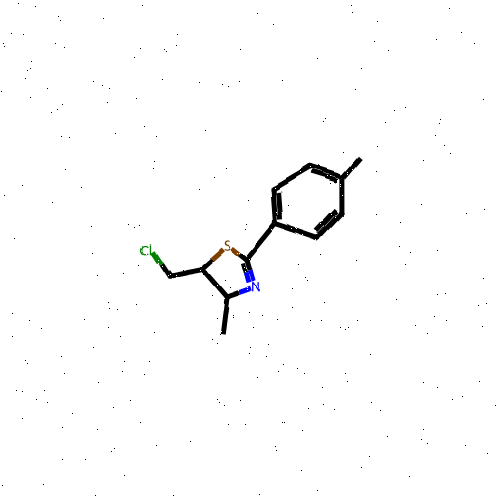 Cc1ccc(C2=NC(C)C(CCl)S2)cc1